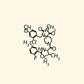 COc1ccc(CN2C(=O)N(C)C(=O)C23CCN(C(=O)[C@H](NC(=O)c2cc(C)ccc2F)C(C)C)CC3)c(Cl)c1